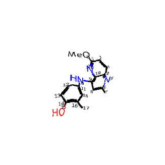 COc1ccc2nc(C)cc(Nc3ccc(O)c(C)c3)c2n1